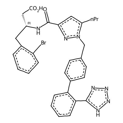 CCCc1cc(C(=O)N[C@@H](CC(=O)O)Cc2ccccc2Br)nn1Cc1ccc(-c2ccccc2-c2nnn[nH]2)cc1